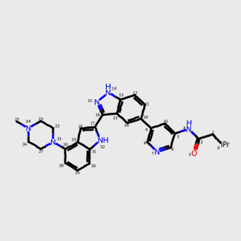 CC(C)CC(=O)Nc1cncc(-c2ccc3[nH]nc(-c4cc5c(N6CCN(C)CC6)cccc5[nH]4)c3c2)c1